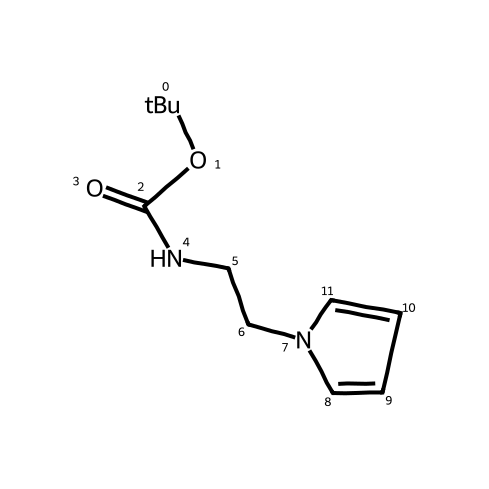 CC(C)(C)OC(=O)NCCn1cccc1